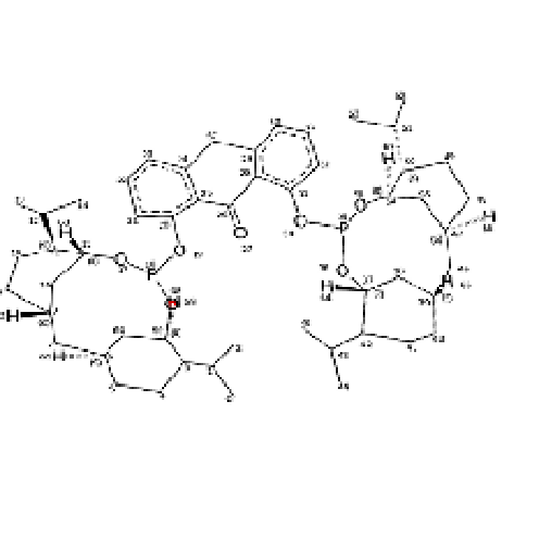 CC(C)C1CC[C@H]2C[C@@H]3CC[C@@H](C(C)C)[C@@H](C3)OP(Oc3cccc4c3C(=O)c3c(cccc3OP3O[C@@H]5C[C@@H](CCC5C(C)C)C[C@@H]5CC[C@@H](C(C)C)[C@@H](C5)O3)C4)O[C@@H]1C2